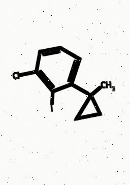 CC1(c2cccc(Cl)c2I)CC1